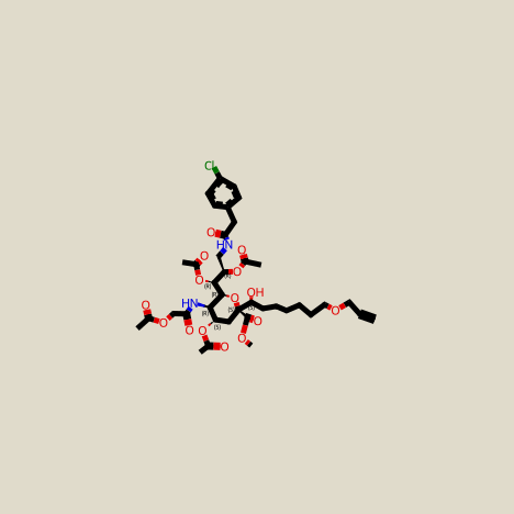 C#CCOCCCCCC[C@H](O)[C@]1(C(=O)OC)C[C@H](OC(C)=O)[C@@H](NC(=O)COC(C)=O)[C@H]([C@H](OC(C)=O)[C@@H](CNC(=O)Cc2ccc(Cl)cc2)OC(C)=O)O1